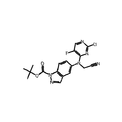 CC(C)(C)OC(=O)n1ncc2cc(N(CC#N)c3nc(Cl)ncc3F)ccc21